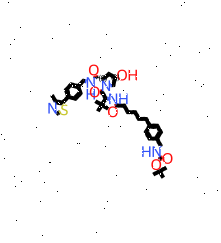 Cc1ncsc1-c1ccc(CNC(=O)[C@@H]2C[C@@H](O)CN2C(=O)C(NC(=O)CCCCCc2ccc(CNC(=O)OC(C)(C)C)cc2)C(C)(C)C)cc1